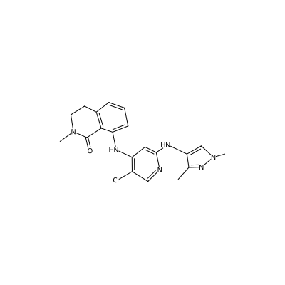 Cc1nn(C)cc1Nc1cc(Nc2cccc3c2C(=O)N(C)CC3)c(Cl)cn1